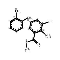 COC(=O)c1cccc(Cl)c1N.Cc1ccccc1C